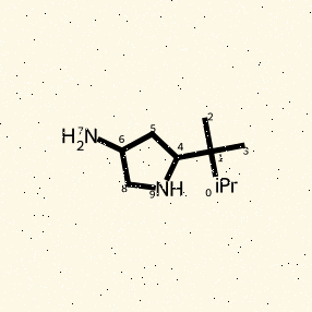 CC(C)C(C)(C)C1CC(N)CN1